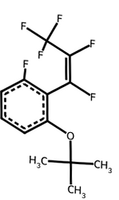 CC(C)(C)Oc1cccc(F)c1/C(F)=C(/F)C(F)(F)F